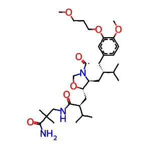 COCCCOc1cc(C[C@@H](C[C@H]2[C@H](C[C@H](C(=O)NCC(C)(C)C(N)=O)C(C)C)OCN2[C]=O)C(C)C)ccc1OC